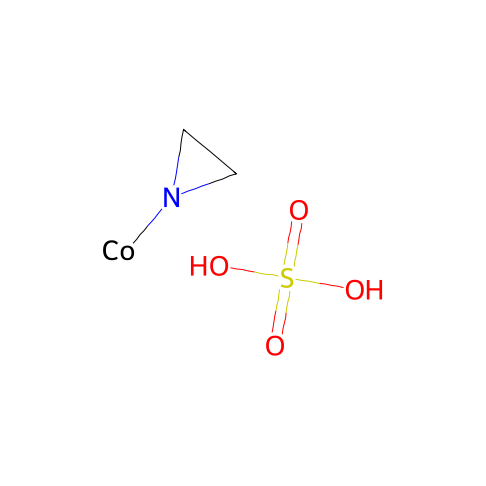 O=S(=O)(O)O.[Co][N]1CC1